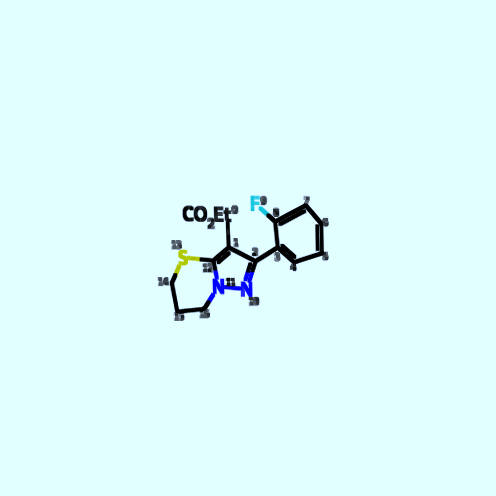 CCOC(=O)c1c(-c2ccccc2F)nn2c1SCCC2